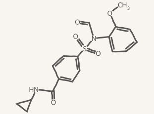 COc1ccccc1N(C=O)S(=O)(=O)c1ccc(C(=O)NC2CC2)cc1